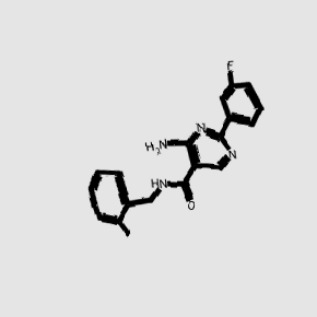 Cc1ccccc1CNC(=O)c1cnc(-c2cccc(F)c2)nc1N